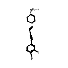 CCCCC[C@H]1CC[C@H](C=CC#Cc2ccc(F)c(F)c2)CC1